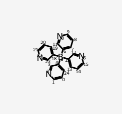 c1cncc([B-](c2cccnc2)(c2cccnc2)c2cccnc2)c1